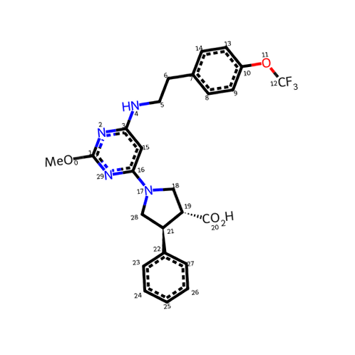 COc1nc(NCCc2ccc(OC(F)(F)F)cc2)cc(N2C[C@H](C(=O)O)[C@@H](c3ccccc3)C2)n1